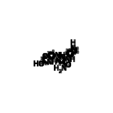 NC(=O)c1cnc(Nc2ccc3c(c2)NC[C@H](O)CO3)nc1Nc1ccc2[nH]ccc2c1